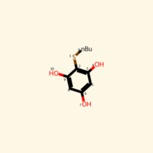 CCCCSc1c(O)cc(O)cc1O